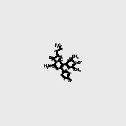 Cc1cc(-c2c(-c3ccc(F)cc3)nc(N)n3c(=O)n(CCC(F)(F)F)nc23)cc(C)[n+]1[O-]